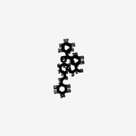 CC(CN1CCCCC1CCC1CCCCC1)c1cccc(C(=O)c2ccccc2)c1